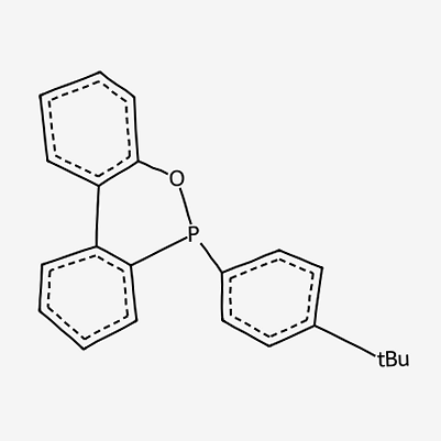 CC(C)(C)c1ccc(P2Oc3ccccc3-c3ccccc32)cc1